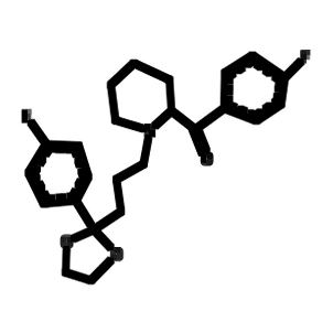 O=C(c1ccc(F)cc1)C1CCCCN1CCCC1(c2ccc(F)cc2)OCCO1